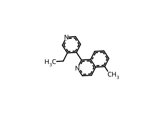 CCc1cnccc1-c1nccc2c(C)cccc12